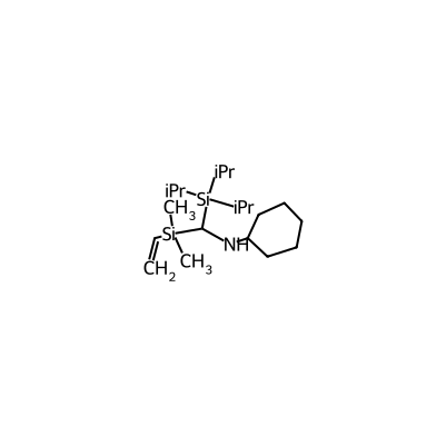 C=C[Si](C)(C)C(NC1CCCCC1)[Si](C(C)C)(C(C)C)C(C)C